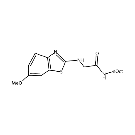 CCCCCCCCNC(=O)CNc1nc2ccc(OC)cc2s1